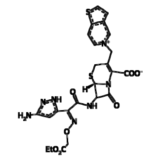 CCOC(=O)CON=C(C(=O)NC1C(=O)N2C(C(=O)[O-])=C(C[n+]3ccc4sccc4c3)CS[C@@H]12)c1cc(N)n[nH]1